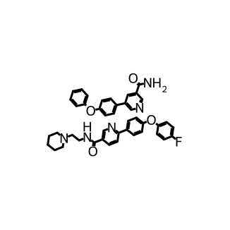 NC(=O)c1cncc(-c2ccc(Oc3ccccc3)cc2)c1.O=C(NCCN1CCCCC1)c1ccc(-c2ccc(Oc3ccc(F)cc3)cc2)nc1